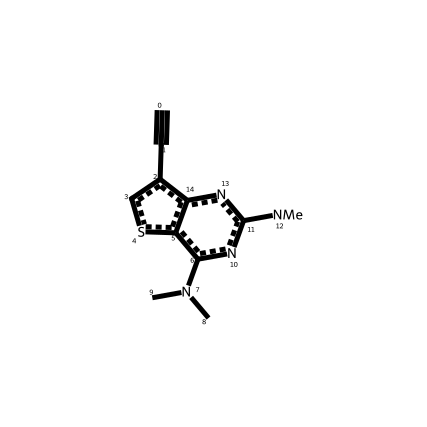 C#Cc1csc2c(N(C)C)nc(NC)nc12